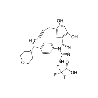 CC#CCc1cc(-c2nnc(S)n2-c2ccc(CN3CCOCC3)cc2)c(O)cc1O.O=C(O)C(F)(F)F